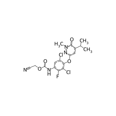 CC(C)c1cc(Oc2c(Cl)cc(NC(=O)OCC#N)c(F)c2Cl)nn(C)c1=O